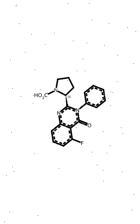 O=C(O)N1CCC[C@H]1c1nc2cccc(F)c2c(=O)n1-c1ccccc1